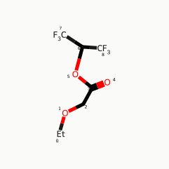 CCOCC(=O)OC(C(F)(F)F)C(F)(F)F